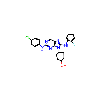 O[C@H]1CC[C@H](n2c(Nc3ccccc3F)nc3cnc(Nc4ccc(Cl)cc4)nc32)CC1